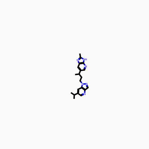 Cc1nc2cc(C(C)CCn3ncc4ncc(C(C)C)cc43)cnc2[nH]1